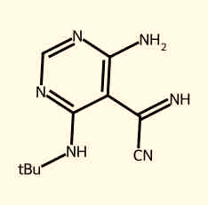 CC(C)(C)Nc1ncnc(N)c1C(=N)C#N